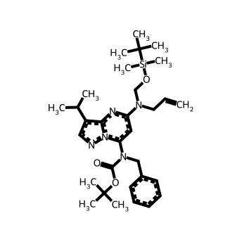 C=CCN(CO[Si](C)(C)C(C)(C)C)c1cc(N(Cc2ccccc2)C(=O)OC(C)(C)C)n2ncc(C(C)C)c2n1